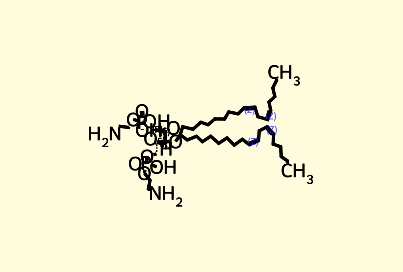 CCCCC/C=C\C/C=C\CCCCCCCCC1(CCCCCCCC/C=C\C/C=C\CCCCC)O[C@@H]2[C@@H](OP(=O)(O)OCCN)O[C@@H](COP(=O)(O)OCCN)[C@H]2O1